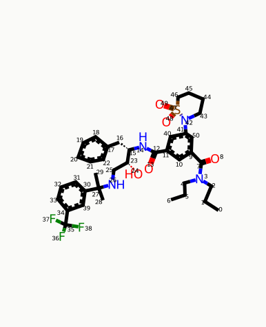 CCCN(CCC)C(=O)c1cc(C(=O)N[C@@H](Cc2ccccc2)[C@H](O)CNC(C)(C)c2cccc(C(F)(F)F)c2)cc(N2CCCCS2(=O)=O)c1